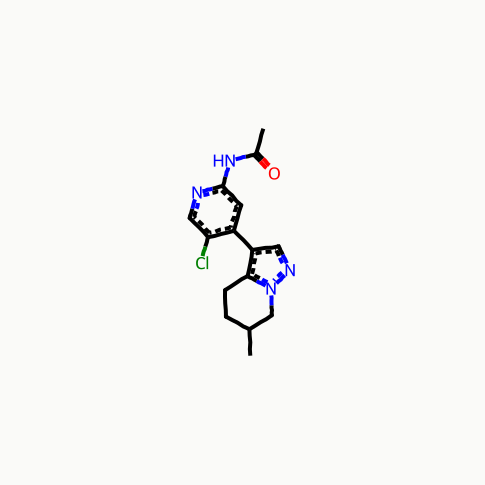 CC(=O)Nc1cc(-c2cnn3c2CCC(C)C3)c(Cl)cn1